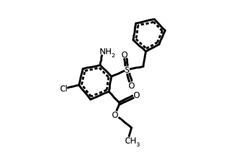 CCOC(=O)c1cc(Cl)cc(N)c1S(=O)(=O)Cc1ccccc1